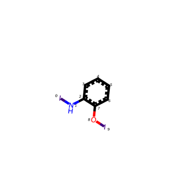 INc1ccccc1OI